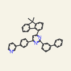 CC1(C)c2ccccc2-c2c(-c3cc(-c4ccc(-c5cccnc5)cc4)nc(-c4cccc(-c5ccccc5)c4)n3)cccc21